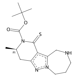 C[C@@H]1Cc2nn3c(c2C(=S)N1C(=O)OC(C)(C)C)CNCCC3